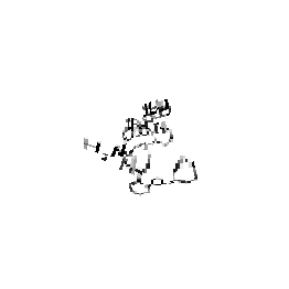 CC(C)(C)OC(=O)c1c(C2CCCN(C(=O)OC(C)(C)C)C2)cc(-c2ccccc2OCc2ccccc2)nc1N